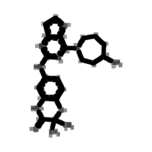 CC1(C)Oc2ccc(Nc3nc(N4CCCC(N)CC4)c4occc4n3)cc2NC1=O